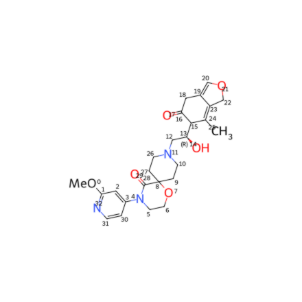 COc1cc(N2CCOC3(CCN(C[C@H](O)C4C(=O)CC5=COCC5=C4C)CC3)C2=O)ccn1